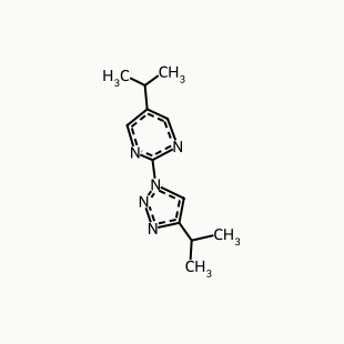 CC(C)c1cnc(-n2cc(C(C)C)nn2)nc1